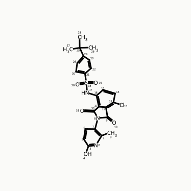 Cc1nc(O)ccc1N1C(=O)c2c(Cl)ccc(NS(=O)(=O)c3ccc(C(C)(C)C)cc3)c2C1=O